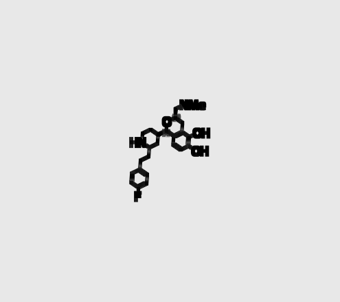 CNC[C@H]1Cc2c(ccc(O)c2O)[C@@H](C2CCNC(CCc3ccc(F)cc3)C2)O1